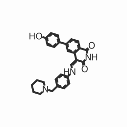 O=C1NC(=O)c2ccc(-c3ccc(O)cc3)cc2/C1=C/Nc1ccc(CN2CCCCC2)cc1